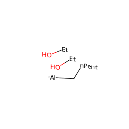 CCCCC[CH2][Al].CCO.CCO